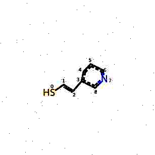 S/C=C/c1cccnc1